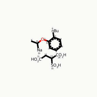 CCCCc1ccccc1O[CH](C)[Na].O=C(O)CC(C(=O)O)S(=O)(=O)O